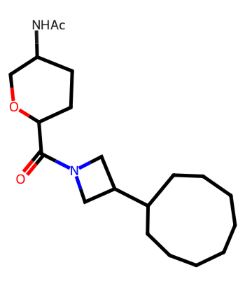 CC(=O)NC1CCC(C(=O)N2CC(C3CCCCCCCC3)C2)OC1